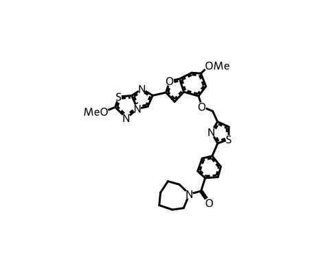 COc1cc(OCc2csc(-c3ccc(C(=O)N4CCCCCC4)cc3)n2)c2cc(-c3cn4nc(OC)sc4n3)oc2c1